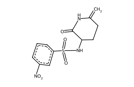 C=C1CCC(NS(=O)(=O)c2cccc([N+](=O)[O-])c2)C(=O)N1